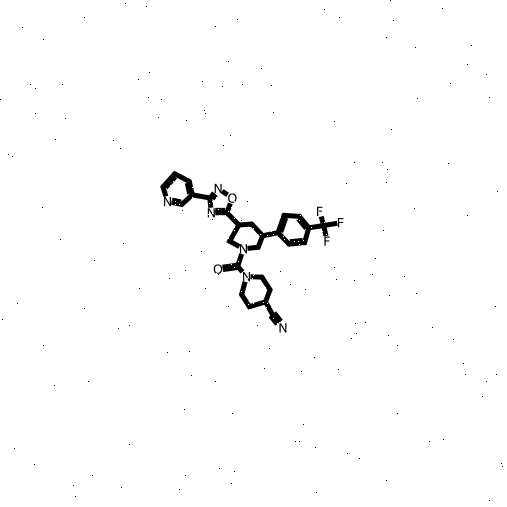 N#CC1CCN(C(=O)N2CC(c3ccc(C(F)(F)F)cc3)CC(c3nc(-c4cccnc4)no3)C2)CC1